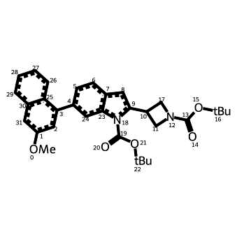 COc1cc(-c2ccc3cc(C4CN(C(=O)OC(C)(C)C)C4)n(C(=O)OC(C)(C)C)c3c2)c2ccccc2c1